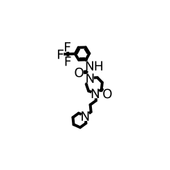 O=C1CCN(C(=O)Nc2cccc(C(F)(F)F)c2)CCN1CCCN1CCCCC1